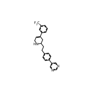 FC(F)(F)c1cccc(C2=CCNC(CCc3ccc(-c4cncnc4)cc3)C2)c1